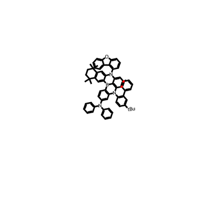 Cc1cc2c3c(c1)N(c1cccc4oc5ccccc5c14)c1cc4c(cc1B3c1ccc(N(c3ccccc3)c3ccccc3)cc1N2c1ccc(C(C)(C)C)cc1-c1ccccc1)C(C)(C)CCC4(C)C